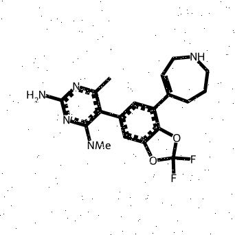 CNc1nc(N)nc(C)c1-c1cc2c(c(C3=CCNCCC3)c1)OC(F)(F)O2